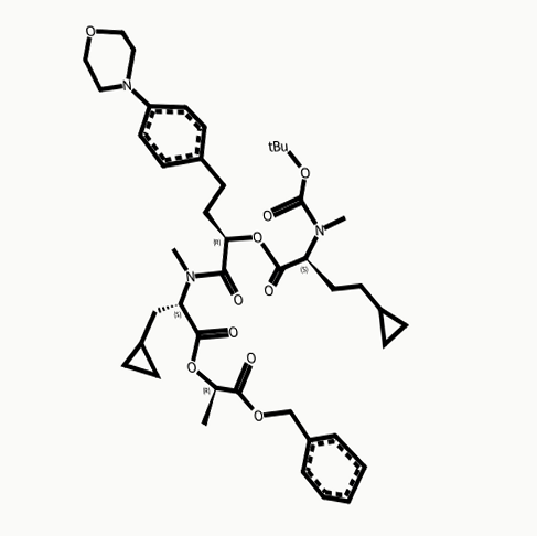 C[C@@H](OC(=O)[C@H](CC1CC1)N(C)C(=O)[C@@H](CCc1ccc(N2CCOCC2)cc1)OC(=O)[C@H](CCC1CC1)N(C)C(=O)OC(C)(C)C)C(=O)OCc1ccccc1